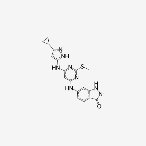 CSc1nc(Nc2ccc3c(c2)N[N]C3=O)cc(Nc2cc(C3CC3)n[nH]2)n1